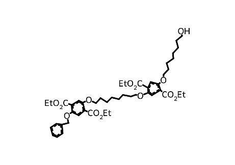 CCOC(=O)c1cc(OCCCCCCCCOc2cc(C(=O)OCC)c(OCc3ccccc3)cc2C(=O)OCC)c(C(=O)OCC)cc1OCCCCCCCCO